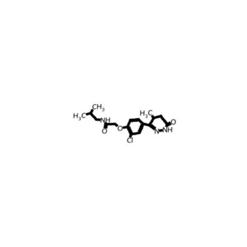 CC(C)CNC(=O)COc1ccc(C2=NNC(=O)CC2C)cc1Cl